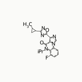 CC1CC1c1noc(-c2ncn3c2c(=O)n(C(C)C)c2c(F)cccc23)n1